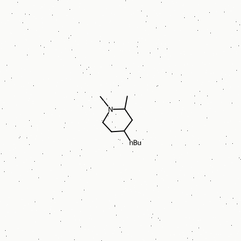 CCCCC1CCN(C)C(C)C1